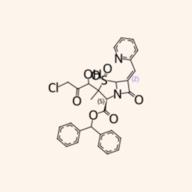 CC1(C(O)C(=O)CCl)[C@H](C(=O)OC(c2ccccc2)c2ccccc2)N2C(=O)/C(=C/c3ccccn3)C2S1(=O)=O